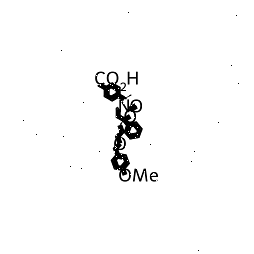 COc1ccc(COCCC[C@]2(c3ccccc3)CCN([C@@H](C)c3ccc(CC(=O)O)cc3)C(=O)O2)cc1